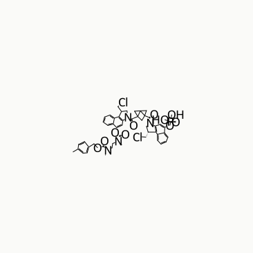 Cc1ccc(COC(=O)N(C)CCN(C)C(=O)Oc2cc3c(c4ccccc24)C(CCl)CN3C(=O)C23CC4(C(=O)N5C[C@@H](CCl)c6c5cc(OP(=O)(O)O)c5ccccc65)CC24C3)cc1